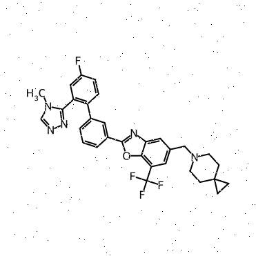 Cn1cnnc1-c1cc(F)ccc1-c1cccc(-c2nc3cc(CN4CCC5(CC4)CC5)cc(C(F)(F)F)c3o2)c1